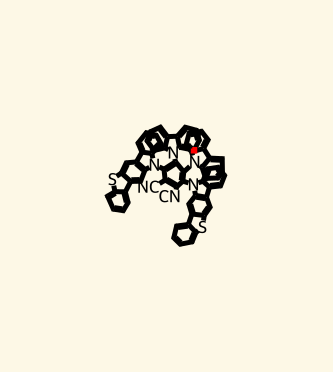 N#Cc1c(C#N)c(-n2c3ccccc3c3cc4sc5ccccc5c4cc32)c(-n2c3ccccc3c3ccccc32)c(-n2c3ccccc3c3ccccc32)c1-n1c2ccccc2c2cc3sc4ccccc4c3cc21